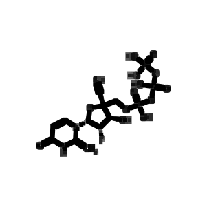 C#C[C@]1(COP(=O)(O)OP(=O)(O)OP(=O)(O)O)O[C@@H](N2C=CC(=O)NC2=C)[C@@H](F)[C@@H]1O